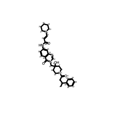 CC(CC(=O)N1CCC(O)(Cn2cnc3cc(NC(=O)C=CN4CCCCC4)ccc3c2=O)CC1)c1ccccc1